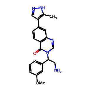 COc1cccc(C(CN)n2cnc3cc(-c4cn[nH]c4C)ccc3c2=O)c1